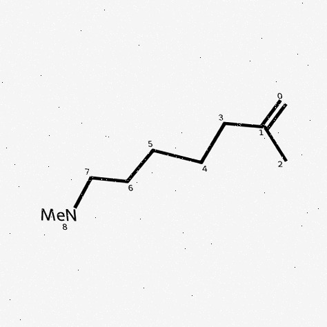 C=C(C)CCCCCNC